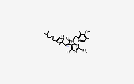 COc1c(C)cnc(CN2C(=O)/C(=C\c3nc(CNCC(C)C)c[nH]3)c3c(Cl)nc(N)nc32)c1C